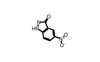 O=C1[N]Nc2ccc([N+](=O)[O-])cc21